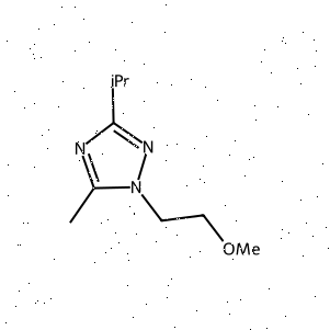 COCCn1nc(C(C)C)nc1C